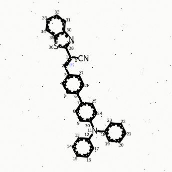 N#C/C(=C\c1ccc(-c2ccc(N(c3ccccc3)c3ccccc3)cc2)cc1)c1nc2ccccc2s1